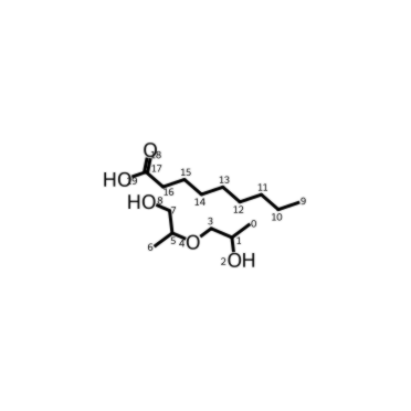 CC(O)COC(C)CO.CCCCCCCCC(=O)O